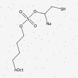 CCCCCCCCCCCCOS(=O)(=O)O[CH]([Na])CS